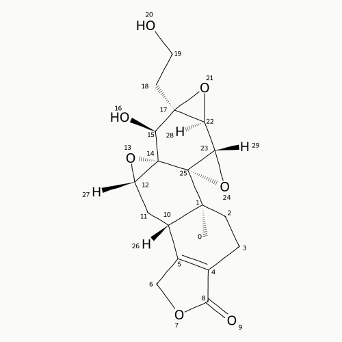 C[C@]12CCC3=C(COC3=O)[C@@H]1C[C@@H]1O[C@@]13[C@@H](O)[C@@]1(CCO)O[C@H]1[C@@H]1O[C@@]132